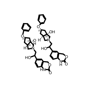 O=C1Nc2ccc(C(O)CN3C[C@H]4C[C@H](Oc5ccccc5)C[C@@]4(O)C3)cc2CO1.O=C1Nc2ccc(C(O)CN3C[C@H]4C[C@H](Oc5ccccc5)C[C@@]4(O)C3)cc2CO1